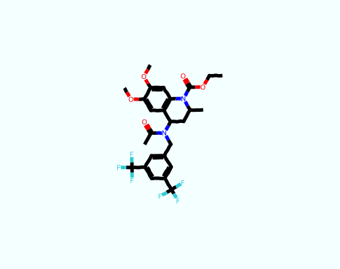 CCOC(=O)N1c2cc(OC)c(OC)cc2C(N(Cc2cc(C(F)(F)F)cc(C(F)(F)F)c2)C(C)=O)CC1C